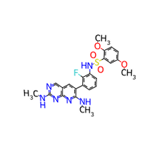 CNc1ncc2cc(-c3cccc(NS(=O)(=O)c4cc(OC)ccc4OC)c3F)c(NC)nc2n1